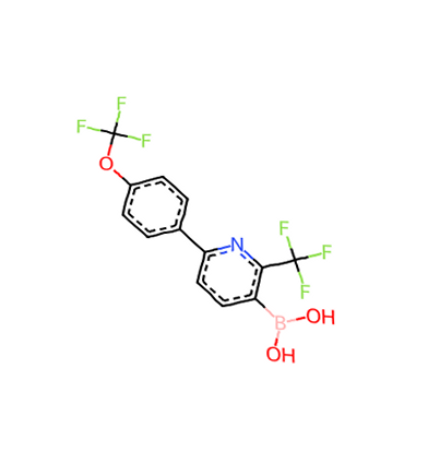 OB(O)c1ccc(-c2ccc(OC(F)(F)F)cc2)nc1C(F)(F)F